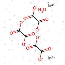 O.O=C([O-])C(=O)[O-].O=C([O-])C(=O)[O-].O=C([O-])C(=O)[O-].[In+3].[In+3]